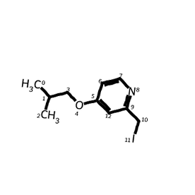 CC(C)COc1ccnc(CI)c1